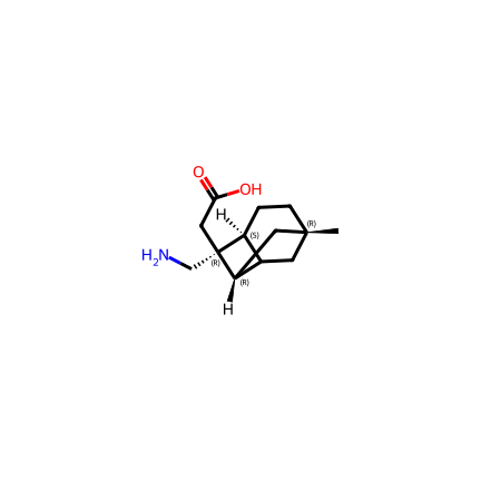 C[C@@]12CC[C@H]3C(C1)[C@@H](C2)[C@@]3(CN)CC(=O)O